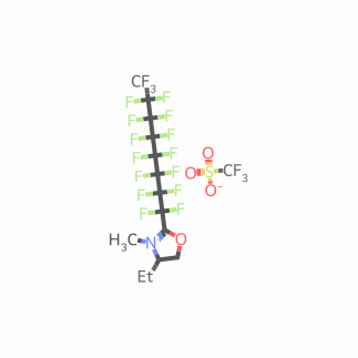 CCC1COC(C(F)(F)C(F)(F)C(F)(F)C(F)(F)C(F)(F)C(F)(F)C(F)(F)C(F)(F)F)=[N+]1C.O=S(=O)([O-])C(F)(F)F